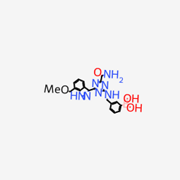 COCc1cccc2c(-c3nc(NCc4cccc(B(O)O)c4)nc(C(N)=O)n3)n[nH]c12